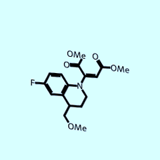 COCC1CCN(/C(=C/C(=O)OC)C(=O)OC)c2ccc(F)cc21